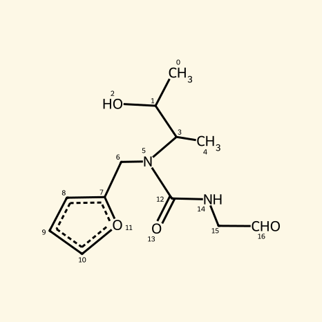 CC(O)C(C)N(Cc1ccco1)C(=O)NCC=O